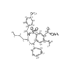 CCCCC1CN(c2ccccc2)c2cc(SC)c(C(=O)O)cc2S(=O)(=O)N1Cc1ccc(OC)cc1